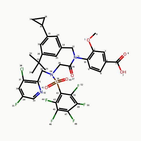 COc1cc(C(=O)O)ccc1N(Cc1cc(C2CC2)cc(C(C)(C)C)c1)C(=O)CN(Cc1ncc(F)cc1Cl)S(=O)(=O)c1c(F)c(F)c(F)c(F)c1F